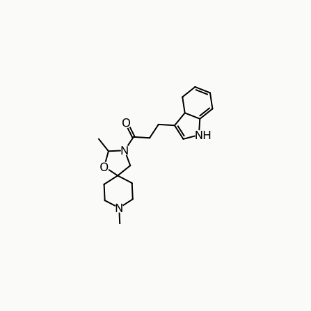 CC1OC2(CCN(C)CC2)CN1C(=O)CCC1=CNC2=CC=CCC12